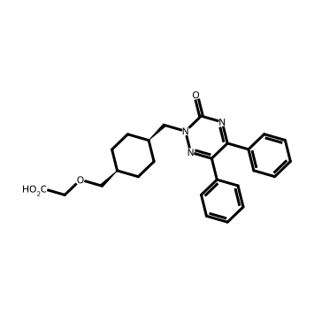 O=C(O)COC[C@H]1CC[C@@H](Cn2nc(-c3ccccc3)c(-c3ccccc3)nc2=O)CC1